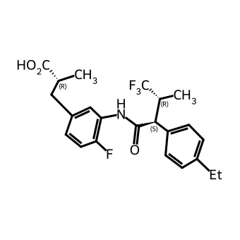 CCc1ccc([C@@H](C(=O)Nc2cc(C[C@@H](C)C(=O)O)ccc2F)[C@@H](C)C(F)(F)F)cc1